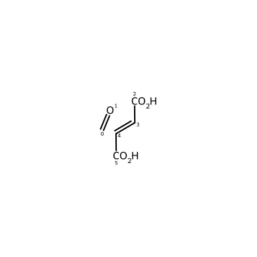 C=O.O=C(O)C=CC(=O)O